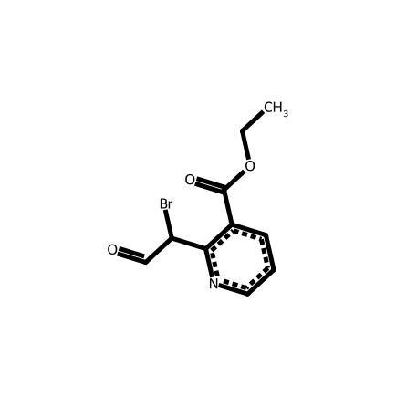 CCOC(=O)c1cccnc1C(Br)C=O